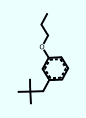 CCCOc1cccc(CC(C)(C)C)c1